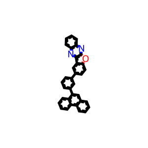 c1cc(-c2ccc3oc4nc5ccccc5nc4c3c2)cc(-c2cc3ccccc3c3ccccc23)c1